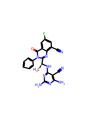 C[C@H](Nc1nc(N)nc(N)c1C#N)c1nc2c(C#N)cc(F)cc2c(=O)n1-c1ccccc1